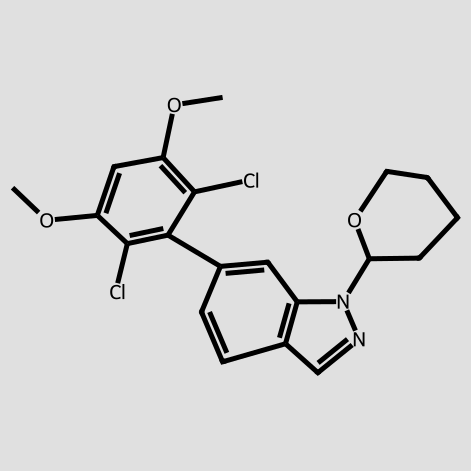 COc1cc(OC)c(Cl)c(-c2ccc3cnn(C4CCCCO4)c3c2)c1Cl